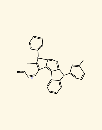 C=C/C=C\c1c(C)n(-c2ccccc2)c2ccc3c(c4ccccc4n3-c3cccc(C)c3)c12